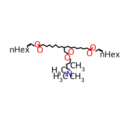 CCCCCC/C=C\COC(=O)CCCCCCCC(CCCCCCCC(=O)OC/C=C\CCCCCC)CC(=O)OCC(C)CC(C)CN(C)C